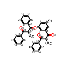 CC(=O)C(C(=O)c1ccccc1)C(=O)c1ccccc1.CC(=O)C(C(=O)c1ccccc1)C(=O)c1ccccc1.[Zn]